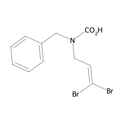 O=C(O)N(CC=C(Br)Br)Cc1ccccc1